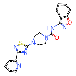 O=C(Nc1noc2ccccc12)N1CCN(c2nc(-c3ccccn3)ns2)CC1